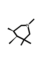 C[C@H]1CN(C)CC(C)(C)[C@H]1C